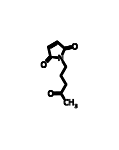 CC(=O)CCCN1C(=O)C=CC1=O